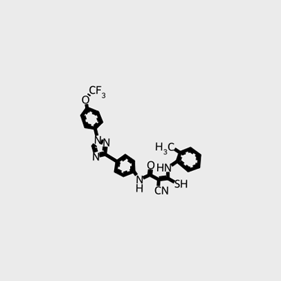 Cc1ccccc1NC(S)=C(C#N)C(=O)Nc1ccc(-c2ncn(-c3ccc(OC(F)(F)F)cc3)n2)cc1